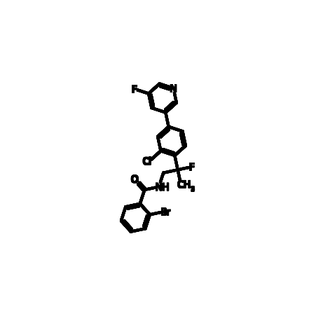 CC(F)(CNC(=O)c1ccccc1Br)c1ccc(-c2cncc(F)c2)cc1Cl